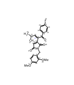 COc1ccc(CN2C(=O)C=C(/C(=C\N(C)C)C(=O)c3ccc(F)cc3)C2=O)c(OC)c1